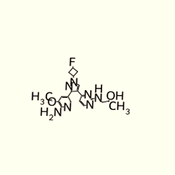 COc1cc(-c2nn(C3CC(F)C3)cc2-c2ccnc(NCC(C)O)n2)cnc1N